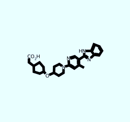 Cc1cc(N2CCC(OC3CCC(CC(=O)O)CC3)CC2)ncc1-c1nc2ccccc2[nH]1